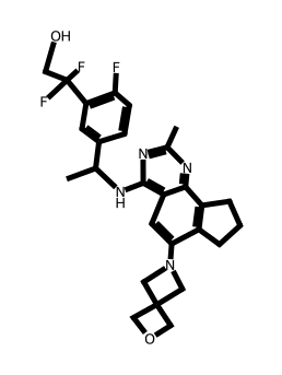 Cc1nc(NC(C)c2ccc(F)c(C(F)(F)CO)c2)c2cc(N3CC4(COC4)C3)c3c(c2n1)CCC3